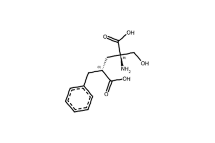 N[C@@](CO)(C[C@@H](Cc1ccccc1)C(=O)O)C(=O)O